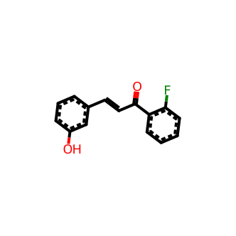 O=C(/C=C/c1cccc(O)c1)c1ccccc1F